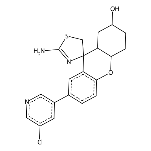 NC1=NC2(CS1)c1cc(-c3cncc(Cl)c3)ccc1OC1CCC(O)CC12